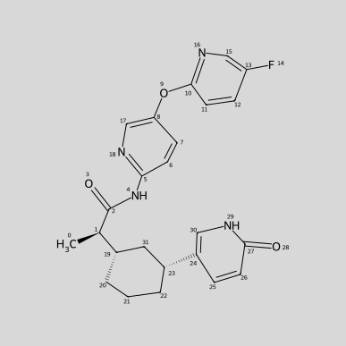 C[C@@H](C(=O)Nc1ccc(Oc2ccc(F)cn2)cn1)[C@H]1CCC[C@@H](c2ccc(=O)[nH]c2)C1